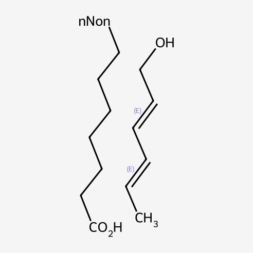 C/C=C/C=C/CO.CCCCCCCCCCCCCCCC(=O)O